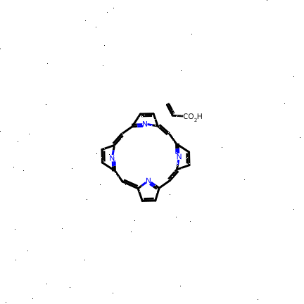 C1=CC2=NC1=CC1=NC(=CC3=NC(=CC4=NC(=C2)C=C4)C=C3)C=C1.C=CC(=O)O